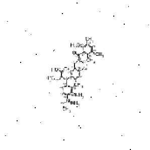 CCC(C(=O)O)C(c1ccc2c(c1)CN(C(=O)c1c(C)c(C)cc(C)c1C)CC2)c1ccc(N(N)CC)c(N)c1C